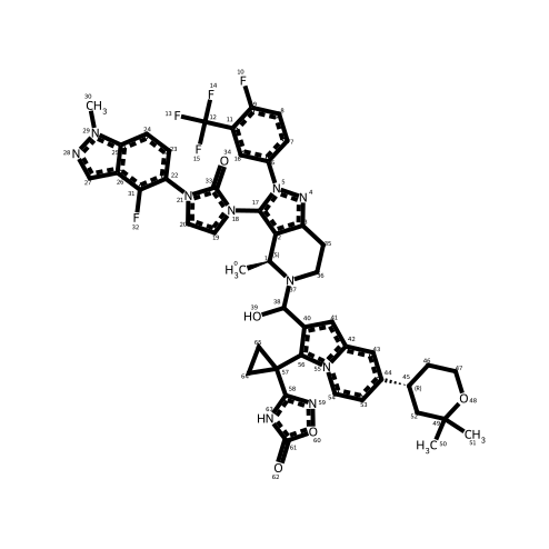 C[C@H]1c2c(nn(-c3ccc(F)c(C(F)(F)F)c3)c2-n2ccn(-c3ccc4c(cnn4C)c3F)c2=O)CCN1C(O)c1cc2cc([C@@H]3CCOC(C)(C)C3)ccn2c1C1(c2noc(=O)[nH]2)CC1